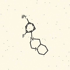 CC(C)c1ccc(N2CCN3CCCCC3C2)c(F)c1